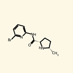 C[C@H]1CC[C@@H](C(=O)Nc2cccc(Br)n2)N1